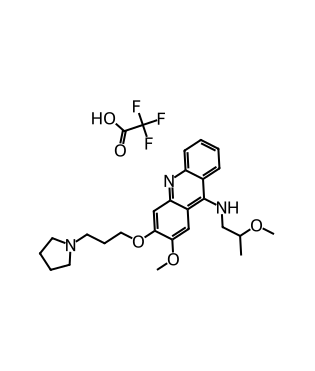 COc1cc2c(NCC(C)OC)c3ccccc3nc2cc1OCCCN1CCCC1.O=C(O)C(F)(F)F